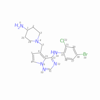 NC1CCN(Cc2ccn3ncnc(Nc4ccc(Br)cc4Cl)c23)CC1